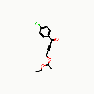 CCOC(C)OCC#CC(=O)c1ccc(Cl)cc1